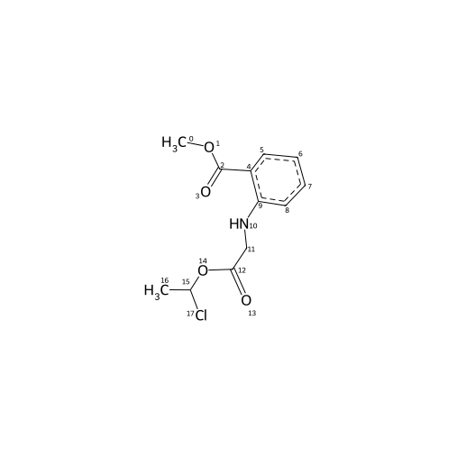 COC(=O)c1ccccc1NCC(=O)OC(C)Cl